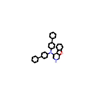 C1=C(N(c2ccc(-c3ccccc3)cc2)c2ccc(-c3ccccc3)cc2)c2c(oc3ccccc23)CN1